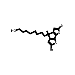 CC1(CCCCCCCCO)c2cc(Br)sc2-c2sc(Br)cc21